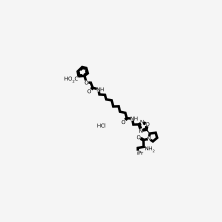 CC(C)C[C@@H](N)C(=O)N1CCC[C@@H]1c1nc(CNC(=O)CCCCCCCCNC(=O)COc2ccccc2C(=O)O)no1.Cl